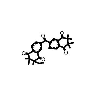 CCC1(C)C(=O)c2cc(C(=O)c3ccc4c(c3)C(=O)C(C)(C)C(C)(C)C4=O)ccc2C(=O)C1(C)C